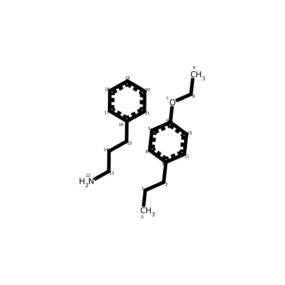 CCCc1ccc(OCC)cc1.NCCCc1ccccc1